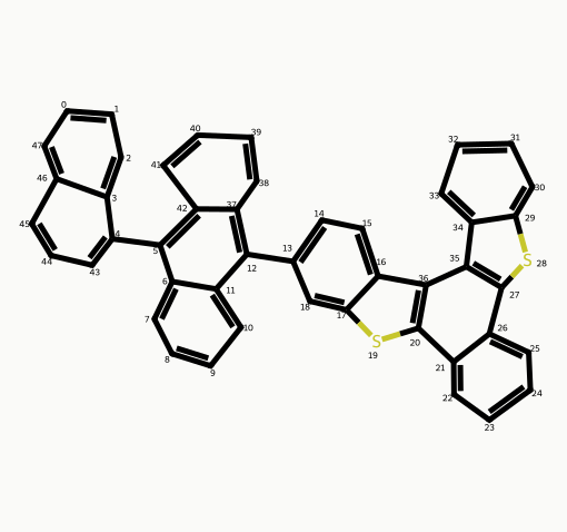 c1ccc2c(-c3c4ccccc4c(-c4ccc5c(c4)sc4c6ccccc6c6sc7ccccc7c6c54)c4ccccc34)cccc2c1